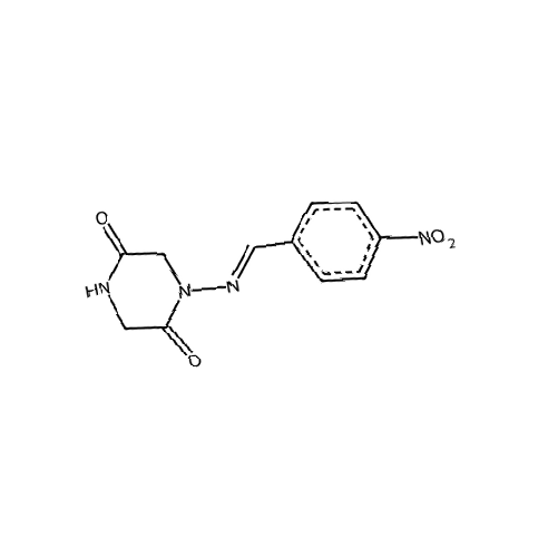 O=C1CN(N=Cc2ccc([N+](=O)[O-])cc2)C(=O)CN1